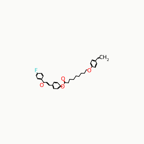 C=Cc1ccc(OCCCCCCCCC(=O)Oc2ccc(C=CC(=O)c3ccc(F)cc3)cc2)cc1